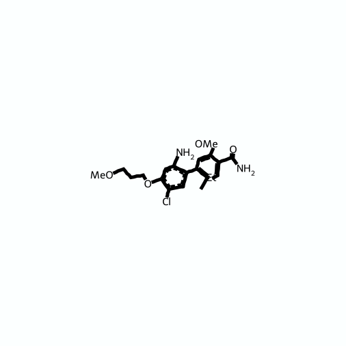 C\C=C(C(N)=O)/C(=C\C(=C(\C)CC)c1cc(Cl)c(OCCCOC)cc1N)OC